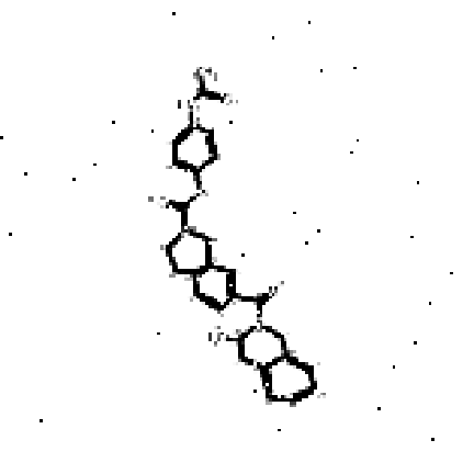 CC(=O)Nc1ccc(OC(=O)N2CCc3ccc(C(=O)N4Cc5ccccc5C[C@H]4C)cc3C2)cc1